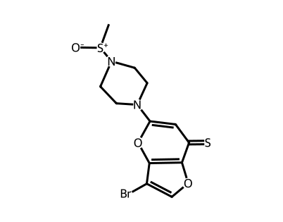 C[S+]([O-])N1CCN(c2cc(=S)c3occ(Br)c3o2)CC1